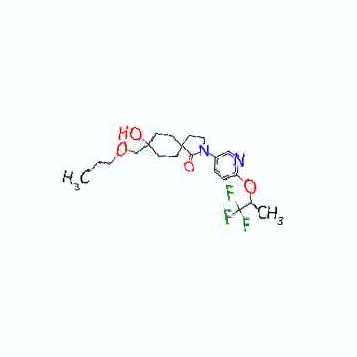 CCCOCC1(O)CCC2(CCN(c3ccc(O[C@@H](C)C(F)(F)F)nc3)C2=O)CC1